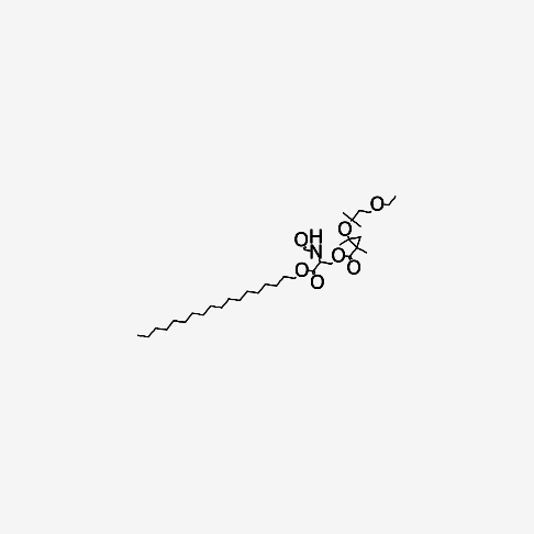 CCCCCCCCCCCCCCCCCCOC(=O)C(COC(=O)C1(C)CC1(C)OC(C)(C)CCOCC)NC=O